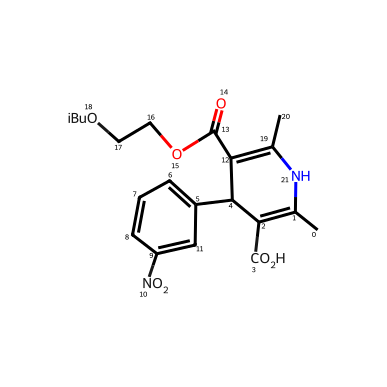 CC1=C(C(=O)O)C(c2cccc([N+](=O)[O-])c2)C(C(=O)OCCOCC(C)C)=C(C)N1